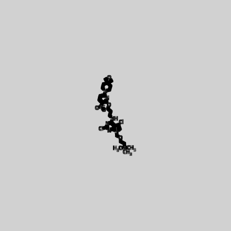 C[Si](C)(C)CCOCn1cc(Cl)c2c(NCCCOc3nc(N4CCC5(CC4)COC5)ccc3[N+](=O)[O-])nc(Cl)nc21